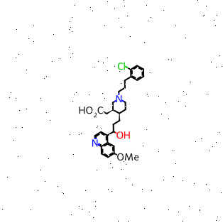 COc1ccc2nccc(C(O)CC[C@@H]3CCN(CCCc4ccccc4Cl)C[C@@H]3CC(=O)O)c2c1